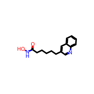 O=C(CCCCCc1cnc2ccccc2c1)NO